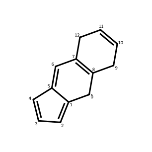 [CH]1C2=CC=CC2=CC2=C1CC=CC2